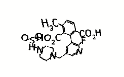 Cc1ccc(C(=O)O)c(-c2cc(CN3CCN(C[SH](=O)=O)CC3)cnc2F)c1C(=O)O